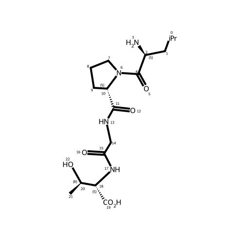 CC(C)C[C@H](N)C(=O)N1CCC[C@H]1C(=O)NCC(=O)N[C@H](C(=O)O)[C@@H](C)O